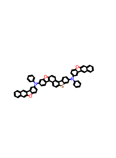 c1ccc(N(c2ccc3c(c2)oc2ccc4c(ccc5sc6cc(N(c7ccccc7)c7ccc8oc9cc%10ccccc%10cc9c8c7)ccc6c54)c23)c2ccc3oc4cc5ccccc5cc4c3c2)cc1